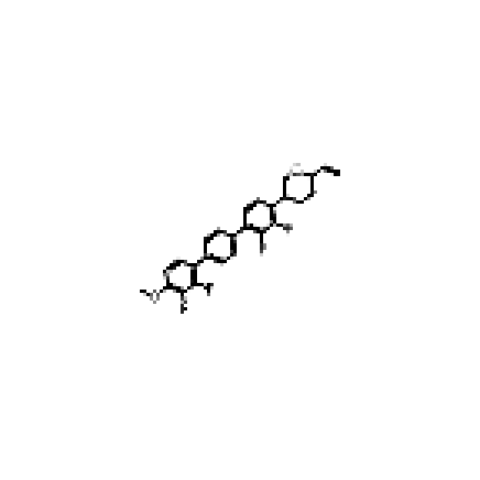 C=CC1CCC(c2ccc(-c3ccc(-c4ccc(OC)c(F)c4F)cc3)c(F)c2F)CO1